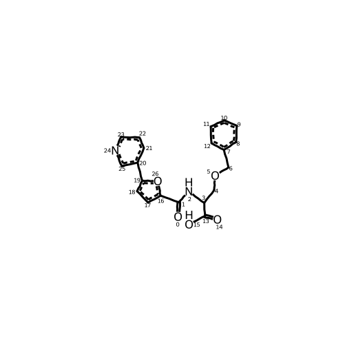 O=C(NC(COCc1ccccc1)C(=O)O)c1ccc(-c2cccnc2)o1